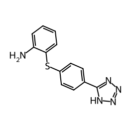 Nc1ccccc1Sc1ccc(-c2nnn[nH]2)cc1